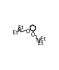 CCN(CC)CCOc1ccccc1OCCN(CC)CC